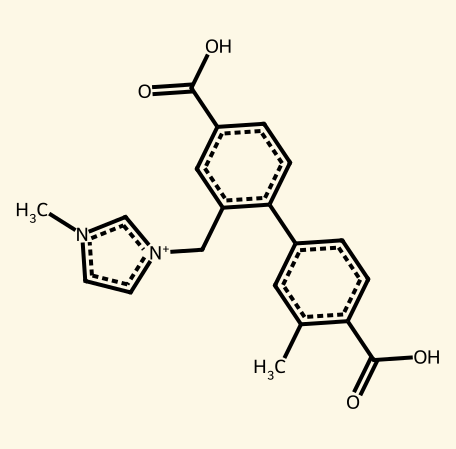 Cc1cc(-c2ccc(C(=O)O)cc2C[n+]2ccn(C)c2)ccc1C(=O)O